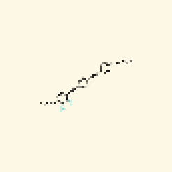 CCCCCc1ccc(C#Cc2ccc(C#Cc3ccc(CCCC)c(F)c3F)cc2)cc1